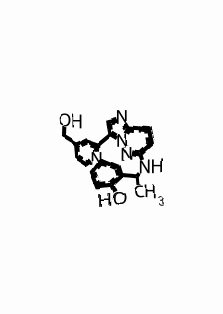 CC(Nc1ccc2ncc(-c3cc(CO)ccn3)n2n1)c1ccccc1O